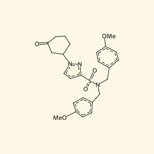 COc1ccc(CN(Cc2ccc(OC)cc2)S(=O)(=O)c2ccn(C3CCCC(=O)C3)n2)cc1